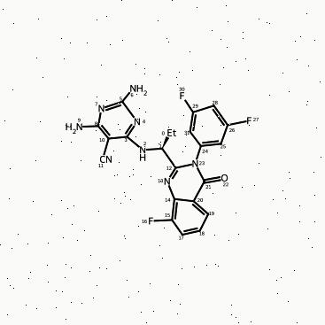 CC[C@H](Nc1nc(N)nc(N)c1C#N)c1nc2c(F)cccc2c(=O)n1-c1cc(F)cc(F)c1